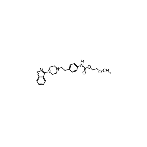 COCCOC(=O)Nc1ccc(CCN2CCN(c3nsc4ccccc34)CC2)cc1